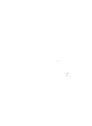 Cc1c(C)c2c(c(C)c1O)CCC(C)(C(=O)NC(C)(C)C)O2